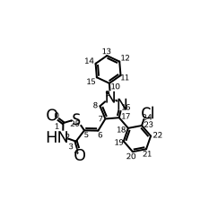 O=C1NC(=O)/C(=C/c2cn(-c3ccccc3)nc2-c2ccccc2Cl)S1